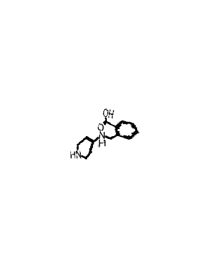 O=C(O)c1ccccc1CNC1CCNCC1